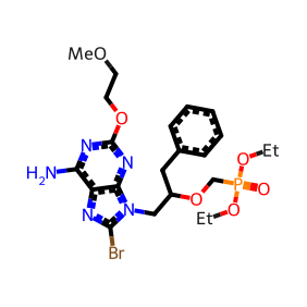 CCOP(=O)(COC(Cc1ccccc1)Cn1c(Br)nc2c(N)nc(OCCOC)nc21)OCC